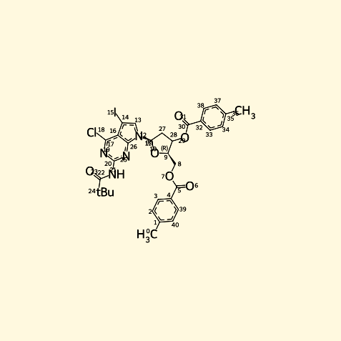 Cc1ccc(C(=O)OC[C@H]2O[C@@H](n3cc(I)c4c(Cl)nc(NC(=O)C(C)(C)C)nc43)CC2OC(=O)c2ccc(C)cc2)cc1